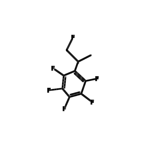 C[C](CF)c1c(F)c(F)c(F)c(F)c1F